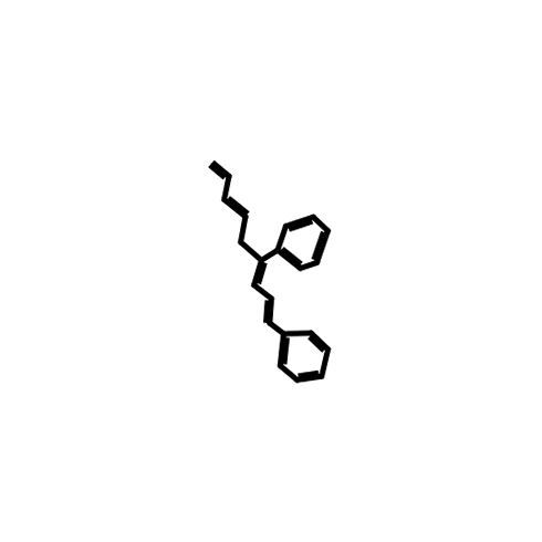 C=CC=CCC(=CC=Cc1ccccc1)c1ccccc1